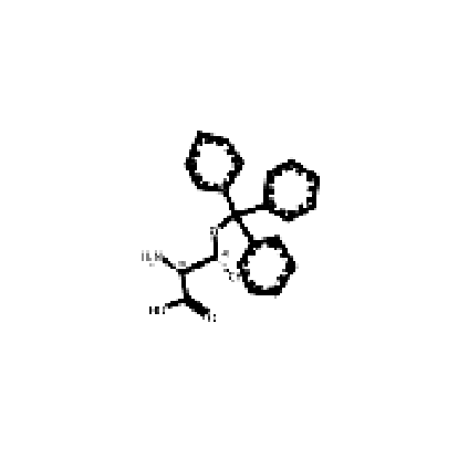 C[C@@H](OC(c1ccccc1)(c1ccccc1)c1ccccc1)[C@H](N)C(=O)O